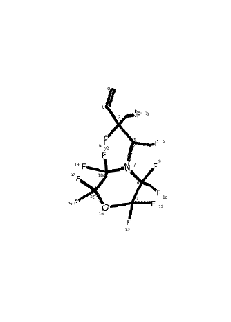 C=CC(F)(F)C(F)N1C(F)(F)C(F)(F)OC(F)(F)C1(F)F